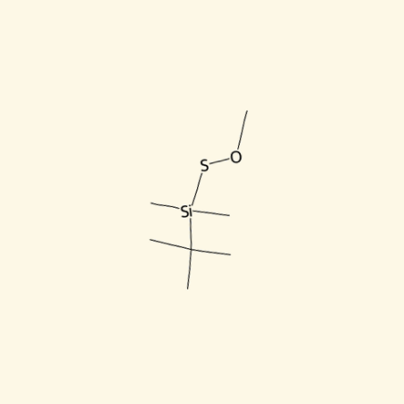 COS[Si](C)(C)C(C)(C)C